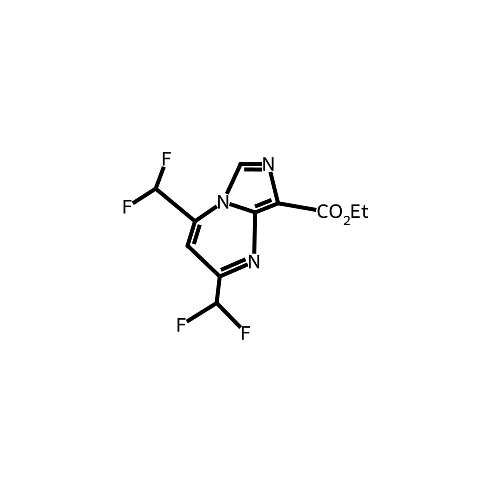 CCOC(=O)c1ncn2c(C(F)F)cc(C(F)F)nc12